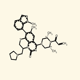 C=CC(=O)N1[C@H](C)CN(c2nc(=O)n3c4c(c(-c5cccc6cnn(C)c56)c(C)cc24)SCC3CN2CCCC2)C[C@@H]1C